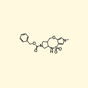 Cn1cc2c(c1)S(=O)(=O)NC1CN(C(=O)OCc3ccccc3)CC1CO2